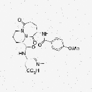 C/N=C/[C@H](CC(=O)O)NC(=O)[C@@H]1CCCN2C(=O)CC[C@H](NC(=O)c3ccc(OC)cc3)C(=O)N12